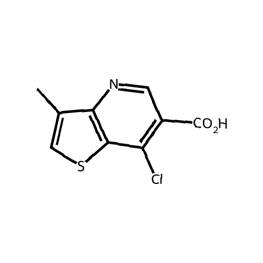 Cc1csc2c(Cl)c(C(=O)O)cnc12